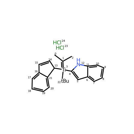 C[C](C)=[Ti]([c]1cc2ccccc2[nH]1)([CH]1C=Cc2ccccc21)[C](C)(C)C.Cl.Cl